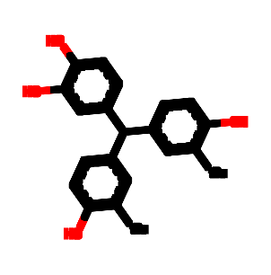 CC(C)(C)c1cc(C(c2ccc(O)c(O)c2)c2ccc(O)c(C(C)(C)C)c2)ccc1O